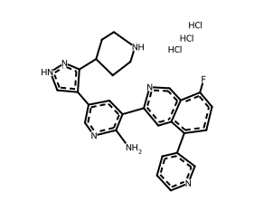 Cl.Cl.Cl.Nc1ncc(-c2c[nH]nc2C2CCNCC2)cc1-c1cc2c(-c3cccnc3)ccc(F)c2cn1